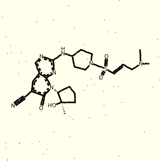 CN(C)C/C=C/S(=O)(=O)N1CCC(Nc2ncc3cc(C#N)c(=O)n([C@@H]4CCC[C@@]4(C)O)c3n2)CC1